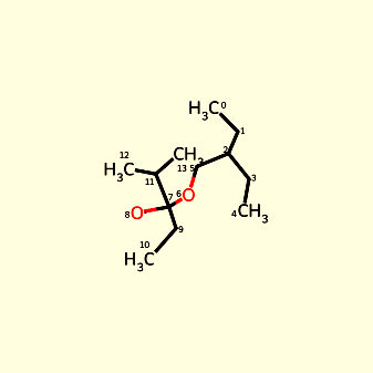 CCC(CC)COC([O])(CC)C(C)C